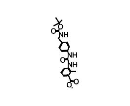 COC(=O)c1cccc(NC(=O)Nc2ccc(CNC(=O)OC(C)(C)C)cc2)c1C